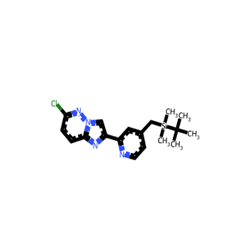 CC(C)(C)[Si](C)(C)Cc1ccnc(-c2cn3nc(Cl)ccc3n2)c1